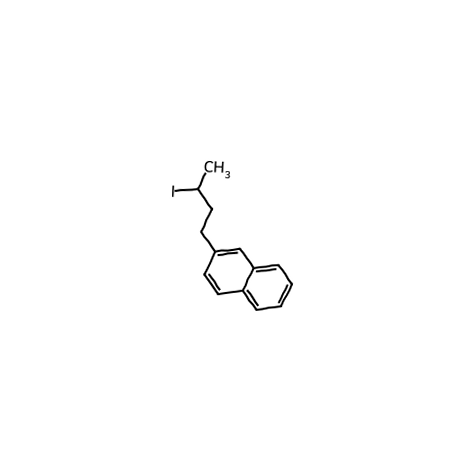 CC(I)CCc1ccc2ccccc2c1